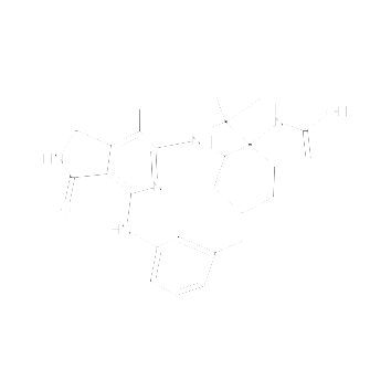 Cc1cccc(Nc2nc(NC3CCCCC3(NC(=O)O)C(C)(C)C)c(Cl)c3c2C(=O)NC3)c1